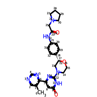 Cc1cncnc1-c1cc(=O)[nH]c(N2CCO[C@@H](c3ccc(NC(=O)CN4CCCC4)cc3)C2)n1